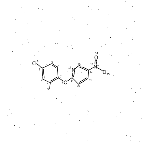 Cc1cc(Cl)ccc1Oc1ccc([N+](=O)[O-])cn1